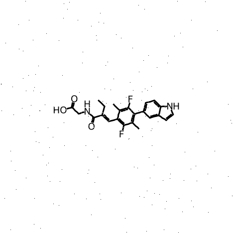 CC/C(=C\c1c(C)c(F)c(-c2ccc3[nH]ccc3c2)c(C)c1F)C(=O)NCC(=O)O